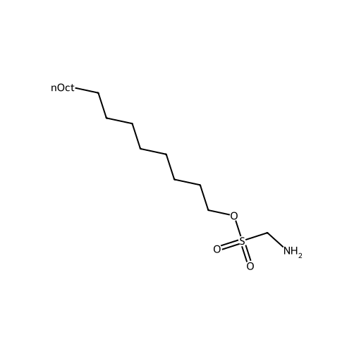 CCCCCCCCCCCCCCCCOS(=O)(=O)CN